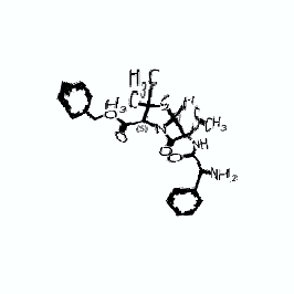 CS[C@@]1(NC(=O)C(N)c2ccccc2)C(=O)N2[C@@H](C(=O)OCc3ccccc3)C(C)(C)S[C@@H]21